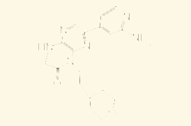 Nc1cc(-c2cnc3c(n2)N(CCC2CCOCC2)C(=O)CN3)ccn1